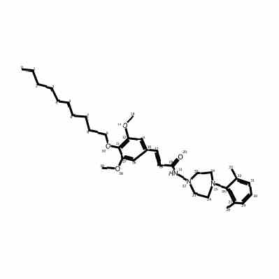 CCCCCCCCCCOc1c(OC)cc(C=CC(=O)NN2CCN(c3c(C)cccc3C)CC2)cc1OC